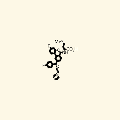 CSCC[C@H](NC(=O)c1ccc(C(OCCn2ccnc2)c2ccc(F)cc2)cc1-c1ccc(F)cc1)C(=O)O